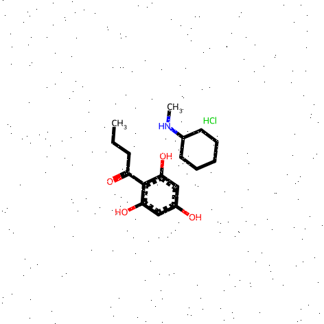 CCCC(=O)c1c(O)cc(O)cc1O.CNC1CCCCC1.Cl